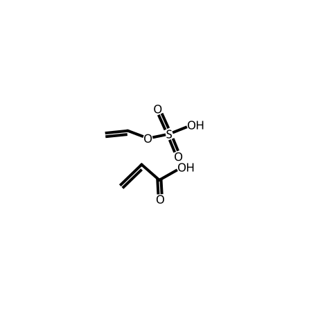 C=CC(=O)O.C=COS(=O)(=O)O